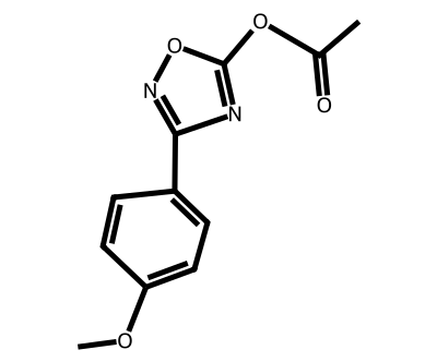 COc1ccc(-c2noc(OC(C)=O)n2)cc1